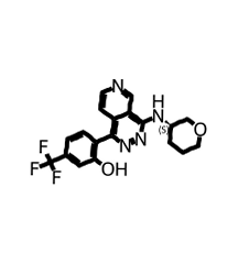 Oc1cc(C(F)(F)F)ccc1-c1nnc(N[C@H]2CCCOC2)c2cnccc12